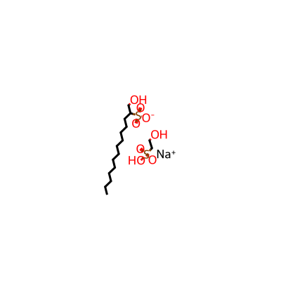 CCCCCCCCCCCCC(CO)S(=O)(=O)[O-].O=S(=O)(O)CCO.[Na+]